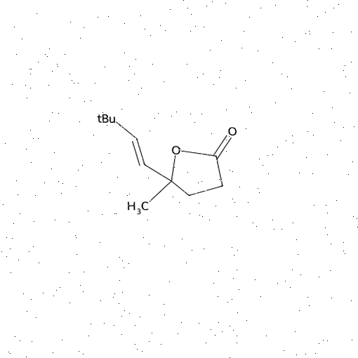 CC(C)(C)C=CC1(C)CCC(=O)O1